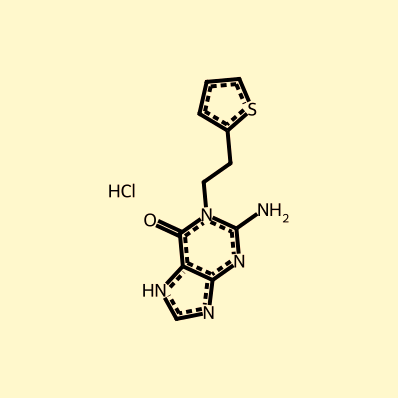 Cl.Nc1nc2nc[nH]c2c(=O)n1CCc1cccs1